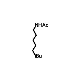 CCC(C)CCCCCNC(C)=O